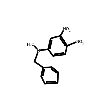 CN(Cc1ccccc1)c1ccc([N+](=O)[O-])c([N+](=O)[O-])c1